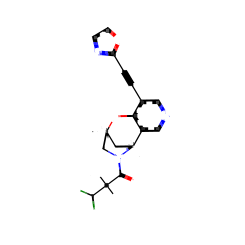 CC(C)(C(=O)N1C[C@@H]2C[C@H]1c1cncc(C#Cc3ncco3)c1O2)C(F)F